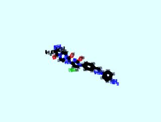 CC(C)(N)C(=O)N1CCN(C(=O)Nc2ccn(-c3ccc(CNC45CCC(N)(CC4)C5)cc3)c(=O)n2)CC1.Cl